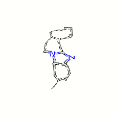 Cc1ccc2nc3c4ccccc4ccn3c2c1